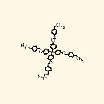 CCc1ccc(COc2ccc(C(c3ccc(OCc4ccc(CC)cc4)cc3)(c3ccc(OCc4ccc(CC)cc4)cc3)c3ccc(OCc4ccc(CC)cc4)cc3)cc2)cc1